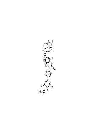 COc1c(F)cc(-c2ccc(-c3nc4nc(O[C@@H]5CO[C@H]6[C@@H]5OC[C@H]6O)[nH]c4cc3Cl)cc2)cc1F